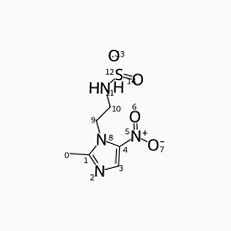 Cc1ncc([N+](=O)[O-])n1CCN[SH](=O)=O